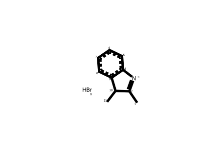 Br.CC1=Nc2ccccc2C1C